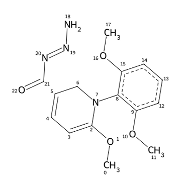 COC1=CC=CCN1c1c(OC)cccc1OC.NN=NC=O